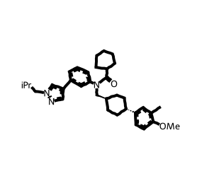 COc1ccc([C@H]2CC[C@H](CN(C(=O)C3CCCCC3)c3cccc(-c4cnn(CC(C)C)c4)c3)CC2)cc1C